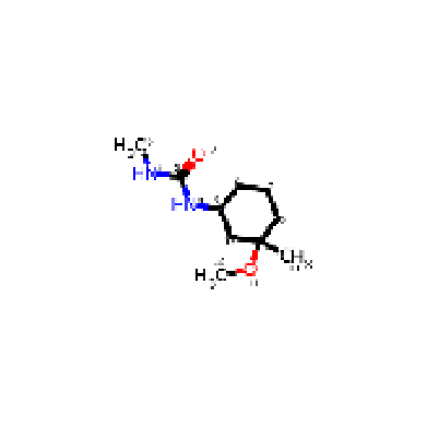 CNC(=O)NC1CCCC(C)(OC)C1